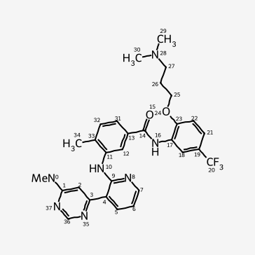 CNc1cc(-c2cccnc2Nc2cc(C(=O)Nc3cc(C(F)(F)F)ccc3OCCCN(C)C)ccc2C)ncn1